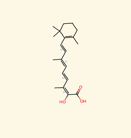 CC1=C(/C=C/C(C)=C/C=C/C(C)=C(/O)C(=O)O)C(C)(C)CCC1